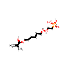 C=C(C)C(=O)OCCCCCCOOCCP(=O)(O)O